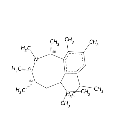 Cc1cc(C(C)C)c2c(c1C)[C@@H](C)N(C)[C@@H](C)[C@@H](C)CC2C(C)C